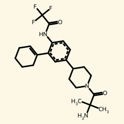 CC(C)(N)C(=O)N1CCC(c2ccc(NC(=O)C(F)(F)F)c(C3=CCCCC3)c2)CC1